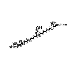 CCCCCCC(=CC(=O)OCCCCCCCCN(CCCO)CCCCCCCCOC(=O)/C=C(\CCCC)CCCCCC)CCCC